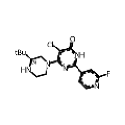 CC(C)(C)[C@H]1CN(c2nc(-c3ccnc(F)c3)[nH]c(=O)c2Cl)CCN1